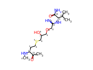 CN[C@@H](CCSCC(O)COCC(=N)N[C@H](C(N)=O)C(C)C)C(C)=O